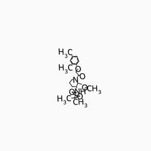 COCC1[C@@H](NS(=O)(=O)C(C)C)CCCN1C(=O)COc1ccc(C)cc1C